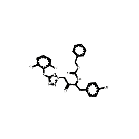 O=C(NC(Cc1ccc(O)cc1)C(=O)Cn1nnc(Sc2c(Cl)cccc2Cl)n1)OCc1ccccc1